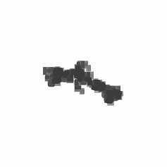 CCc1cc(NC(=O)CCN2CCC3(CC2)CC(OC(=O)C(O)(c2cccs2)c2cccs2)C3)c(CC)cc1CNC[C@H](O)c1ccc(O)c2[nH]c(=O)ccc12